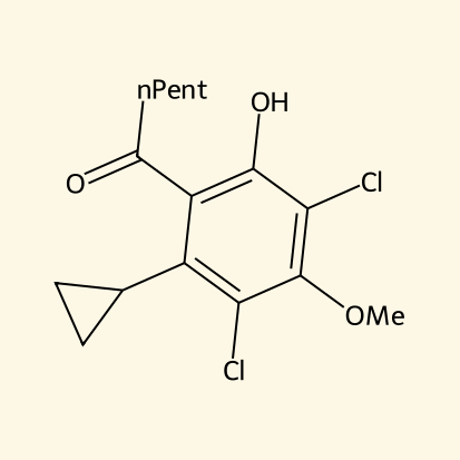 CCCCCC(=O)c1c(O)c(Cl)c(OC)c(Cl)c1C1CC1